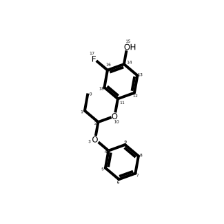 CCC(Oc1ccccc1)Oc1ccc(O)c(F)c1